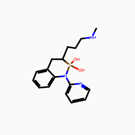 CNCCCC1Cc2ccccc2N(c2ccccn2)S1(O)O